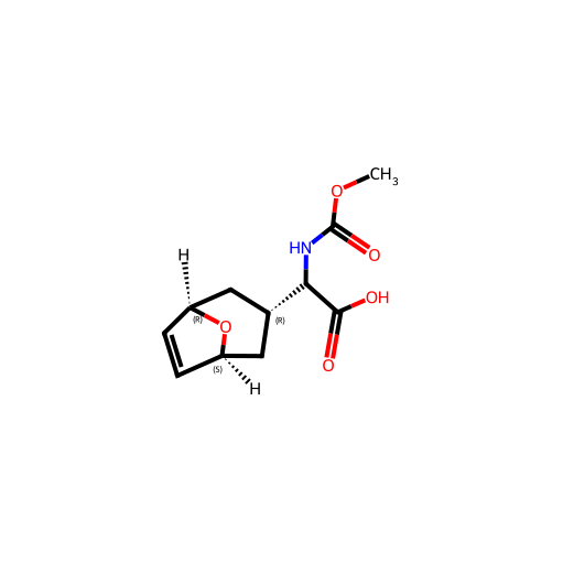 COC(=O)NC(C(=O)O)[C@@H]1C[C@H]2C=C[C@@H](C1)O2